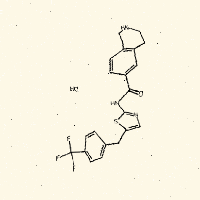 Cl.O=C(Nc1ncc(Cc2ccc(C(F)(F)F)cc2)s1)c1ccc2c(c1)CCNC2